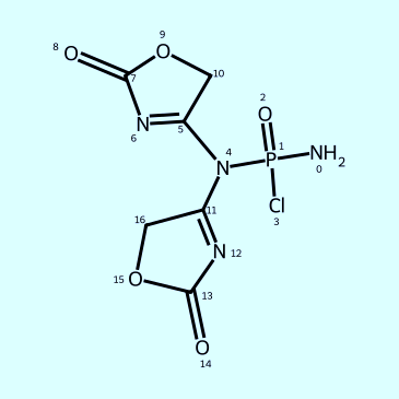 NP(=O)(Cl)N(C1=NC(=O)OC1)C1=NC(=O)OC1